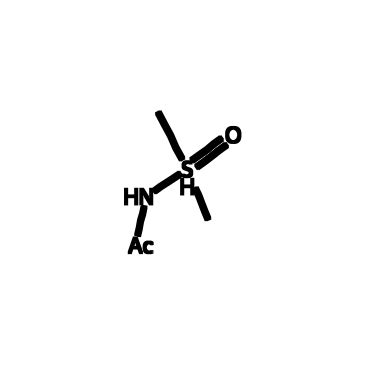 CC(=O)N[SH](C)(C)=O